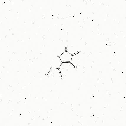 CCC(=O)C1=C(O)C(=O)NC1